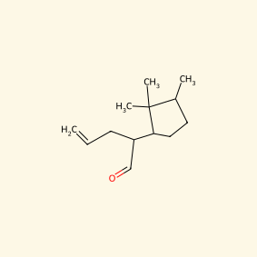 C=CCC(C=O)C1CCC(C)C1(C)C